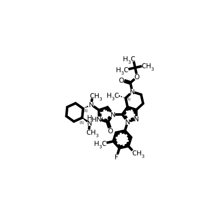 CN[C@H]1CCCC[C@@H]1N(C)c1cn(-c2c3c(nn2-c2cc(C)c(F)c(C)c2)CCN(C(=O)OC(C)(C)C)[C@H]3C)c(=O)[nH]1